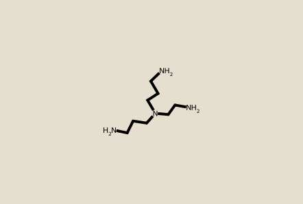 NCCCN(CCN)CCCN